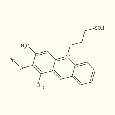 Cc1cc2c(cc3ccccc3[n+]2CCCS(=O)(=O)O)c(C)c1OC(C)C